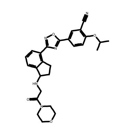 CC(C)Oc1ccc(-c2nc(-c3cccc4c3CCC4NCC(=O)N3CCOCC3)no2)cc1C#N